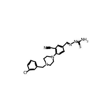 N#Cc1cc(/C=N/NC(N)=S)ccc1N1CCN(Cc2cccc(Cl)c2)CC1